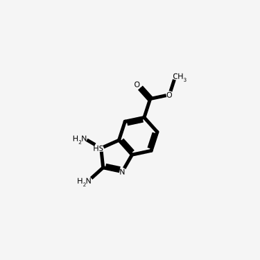 COC(=O)c1ccc2c(c1)[SH](N)C(N)=N2